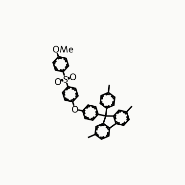 COc1ccc(S(=O)(=O)c2ccc(Oc3ccc(C4(c5ccc(C)cc5)c5cc(C)ccc5-c5ccc(C)cc54)cc3)cc2)cc1